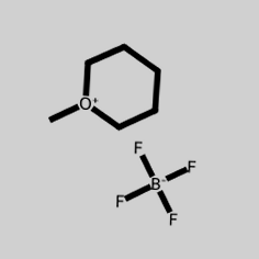 C[O+]1CCCCC1.F[B-](F)(F)F